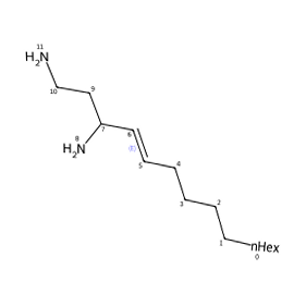 CCCCCCCCCC/C=C/C(N)CCN